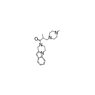 CC(CN1CCN(C)CC1)C(=O)N1CCn2c(cc3ccccc32)C1